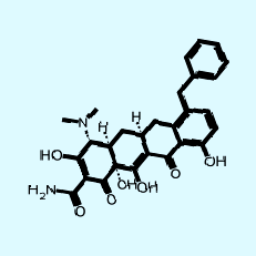 CN(C)[C@H]1C(O)=C(C(N)=O)C(=O)[C@]2(O)C(O)=C3C(=O)c4c(O)ccc(Cc5ccccc5)c4C[C@@H]3C[C@H]12